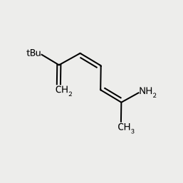 C=C(/C=C\C=C(\C)N)C(C)(C)C